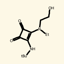 CCN(CCO)c1c(NC(C)(C)C)c(=O)c1=O